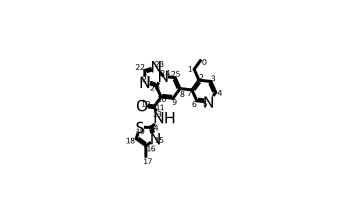 CCc1ccncc1-c1cc(C(=O)Nc2nc(C)cs2)c2ncnn2c1